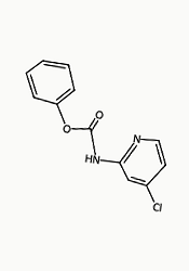 O=C(Nc1cc(Cl)ccn1)Oc1ccccc1